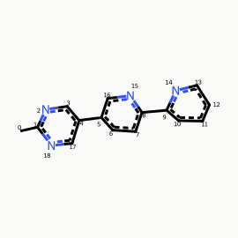 Cc1ncc(-c2ccc(-c3ccccn3)nc2)cn1